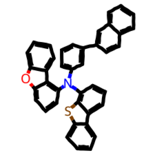 c1cc(-c2ccc3ccccc3c2)cc(N(c2cccc3c2sc2ccccc23)c2cccc3oc4ccccc4c23)c1